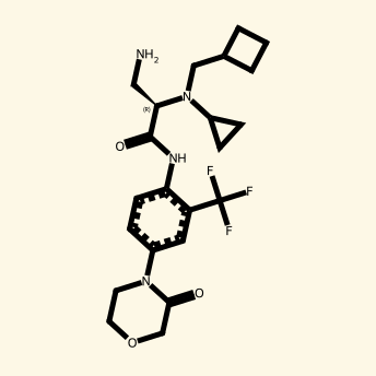 NC[C@H](C(=O)Nc1ccc(N2CCOCC2=O)cc1C(F)(F)F)N(CC1CCC1)C1CC1